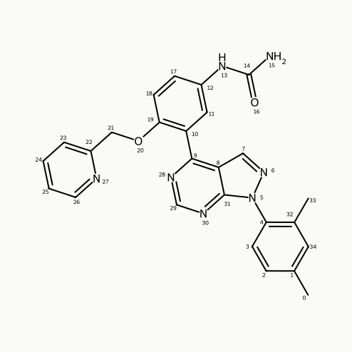 Cc1ccc(-n2ncc3c(-c4cc(NC(N)=O)ccc4OCc4ccccn4)ncnc32)c(C)c1